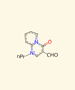 CCC[n+]1cc(C=O)c(=O)n2ccccc21